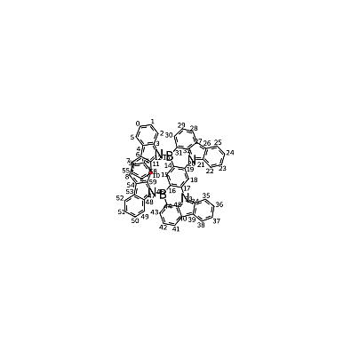 c1ccc2c(c1)c1ccccc1n2B1c2cc3c(cc2-n2c4ccccc4c4cccc1c42)-n1c2ccccc2c2cccc(c21)B3n1c2ccccc2c2ccccc21